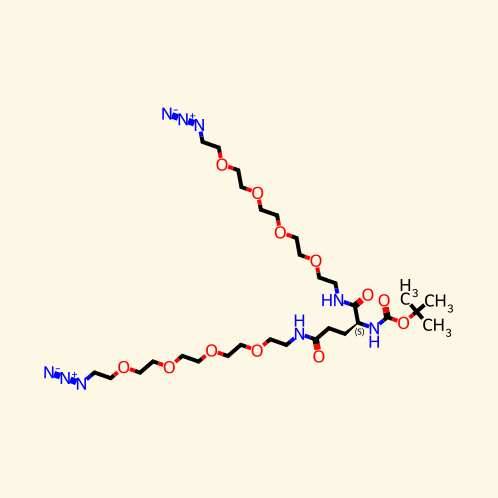 CC(C)(C)OC(=O)N[C@@H](CCC(=O)NCCOCCOCCOCCOCCN=[N+]=[N-])C(=O)NCCOCCOCCOCCOCCN=[N+]=[N-]